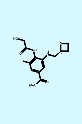 COC(=O)c1cc(F)c(NC(=O)CO)c(NC[C@@H]2CCO2)c1